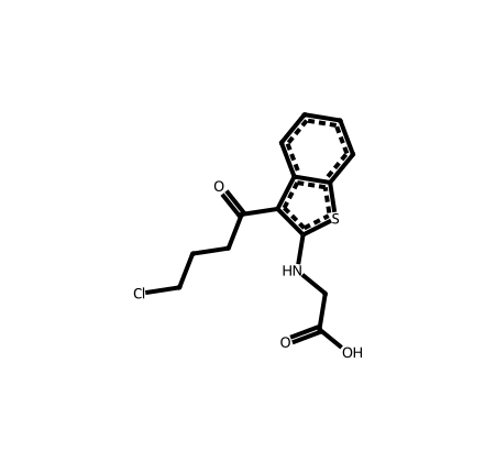 O=C(O)CNc1sc2ccccc2c1C(=O)CCCCl